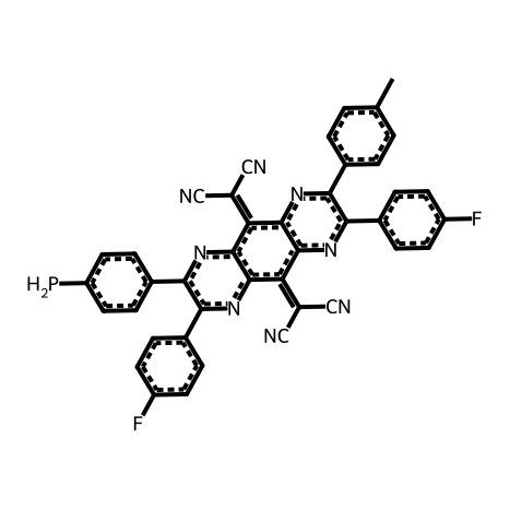 Cc1ccc(-c2nc3c(=C(C#N)C#N)c4nc(-c5ccc(P)cc5)c(-c5ccc(F)cc5)nc4c(=C(C#N)C#N)c3nc2-c2ccc(F)cc2)cc1